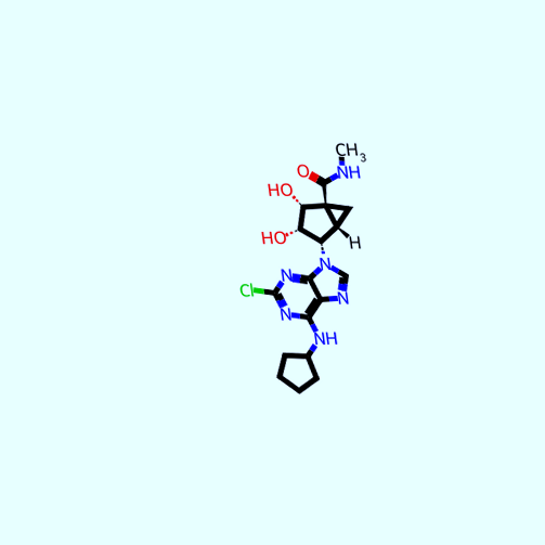 CNC(=O)[C@@]12C[C@@H]1[C@H](n1cnc3c(NC4CCCC4)nc(Cl)nc31)[C@H](O)[C@@H]2O